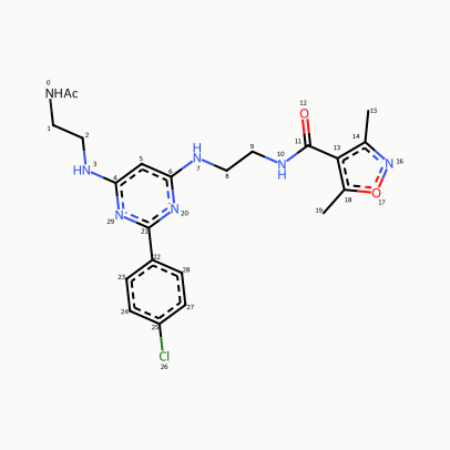 CC(=O)NCCNc1cc(NCCNC(=O)c2c(C)noc2C)nc(-c2ccc(Cl)cc2)n1